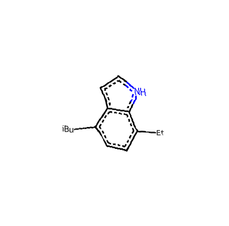 CCc1ccc(C(C)CC)c2cc[nH]c12